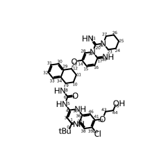 CC(C)(C)C(=N)/C=C(/NC(=O)N[C@H]1CC[C@@H](Oc2ccc(=N)n(C(=N)N3CCCCC3)c2)c2ccccc21)Nc1ccc(Cl)c(OCCO)c1